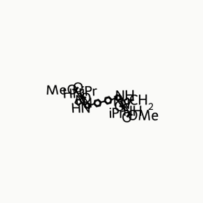 C=C1C[C@@H](c2nc(-c3ccc(-c4ccc(-c5c[nH]c([C@@H]6CCCN6C(=O)[C@@H](NC(=O)OC)C(C)C)n5)cc4)cc3)c[nH]2)N(C(=O)[C@@H](NC(=O)OC)C(C)C)C1